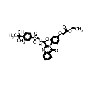 CCOC(=O)COc1ccc(-n2c(C(C)NCS(=O)(=O)c3ccc(C(C)(C)C)cc3)nc3ccccc3c2=O)cc1